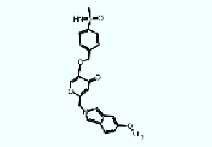 CS(=N)(=O)c1ccc(COc2coc(Cn3cc4ccc(OC(F)(F)F)cc4c3)cc2=O)cc1